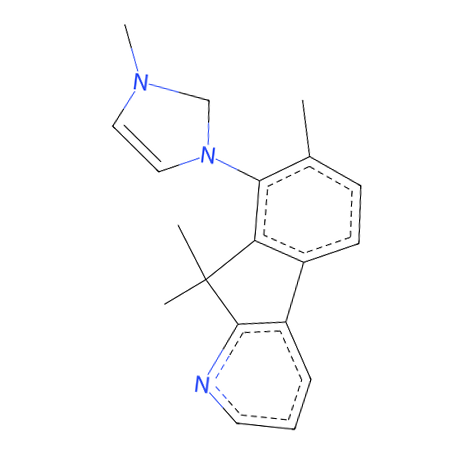 Cc1ccc2c(c1N1C=CN(C)C1)C(C)(C)c1ncccc1-2